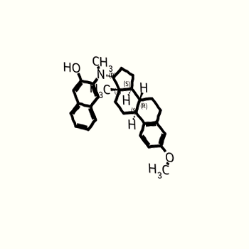 COc1ccc2c(c1)CC[C@@H]1[C@@H]2CC[C@@]2(C)[C@H]1CC[C@H]2N(C)c1cc2ccccc2cc1O